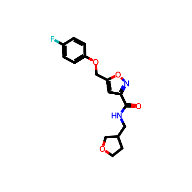 O=C(NCC1CCOC1)c1cc(COc2ccc(F)cc2)on1